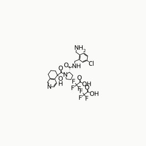 NCc1ccc(Cl)cc1CNC(=O)[C@@H]1CCCN1C(=O)C1(O)CCCc2cnccc21.O=C(O)C(F)(F)F.O=C(O)C(F)(F)F